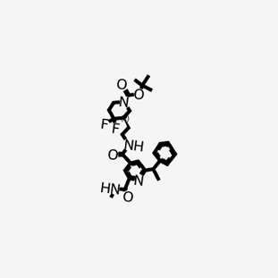 CNC(=O)c1cc(C(=O)NCC[C@@H]2CN(C(=O)OC(C)(C)C)CCC2(F)F)cc(C(C)c2ccccc2)n1